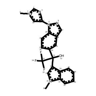 Cn1cnc(-n2ncc3cc(C(O)(c4cn(C)c5ccccc45)C(F)(F)F)ccc32)c1